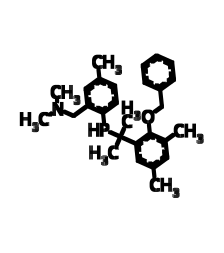 Cc1ccc(PC(C)(C)c2cc(C)cc(C)c2OCc2ccccc2)c(CN(C)C)c1